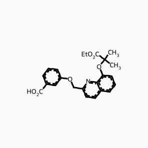 CCOC(=O)C(C)(C)Oc1cccc2ccc(COc3cccc(C(=O)O)c3)nc12